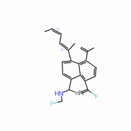 C=C(C)c1ccc(C(=C)F)c2c(C(CCC)NCF)ccc(/C(C)=C/C=C\C)c12